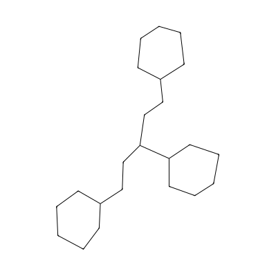 C1CCC(CCC(CCC2CCCCC2)C2CCCCC2)CC1